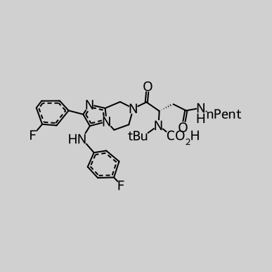 CCCCCNC(=O)C[C@@H](C(=O)N1CCn2c(nc(-c3cccc(F)c3)c2Nc2ccc(F)cc2)C1)N(C(=O)O)C(C)(C)C